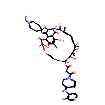 C/C1=C/C=C/[C@H](C)[C@H](O)[C@@H](C)C(O)C[C@H](OC(=O)CC(=O)N2CCC(Nc3ccncc3Cl)CC2)CC/C=C/O[C@@]2(C)Oc3c(C)c(O)c4c(c3C2=O)C2=NC3(CCN(CC(C)C)CC3)NC2=C(NC1=O)C4=O